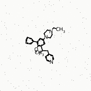 CCN1CCN(c2cc(-c3ccccc3)c(OC)c(C(F)Cc3ccncc3)c2)CC1